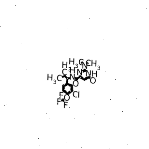 CC(C)C(NC(=O)c1cc(=O)[nH]c(N(C)C)n1)c1ccc(OC(F)(F)F)c(Cl)c1